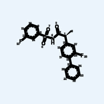 C[C@@H](C(=O)NS(=O)(=O)c1cccc(F)c1)c1ccc(-c2ccccc2)c(F)c1